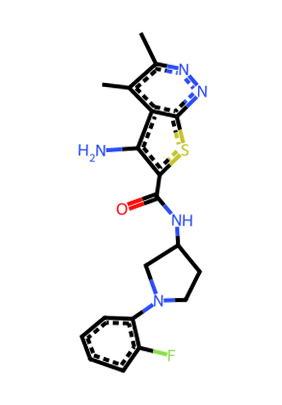 Cc1nnc2sc(C(=O)NC3CCN(c4ccccc4F)C3)c(N)c2c1C